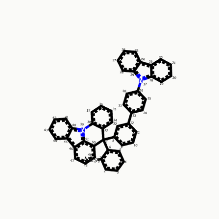 CSc1ccccc1C1(c2cccc(-c3ccc(-n4c5ccccc5c5ccccc54)cc3)c2)c2ccccc2-n2c3ccccc3c3cccc1c32